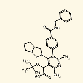 Cc1nc(C)c(C(OC(C)(C)C)C(=O)O)c(N2CC3CCCC3C2)c1-c1ccc(C(=O)NCc2ccccc2)cc1